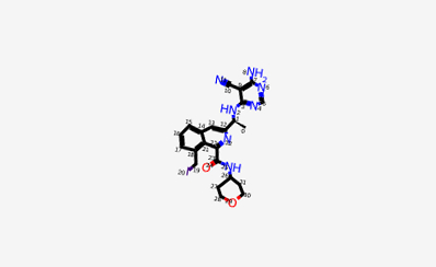 C[C@H](Nc1ncnc(N)c1C#N)c1cc2cccc(CI)c2c(C(=O)NC2CCOCC2)n1